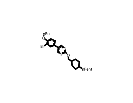 CCCCCC1CCC(COc2ncc(-c3ccc(OCCCC)c(Br)c3)cn2)CC1